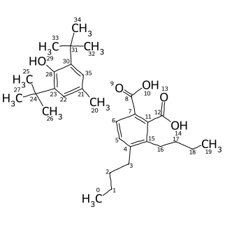 CCCCc1ccc(C(=O)O)c(C(=O)O)c1CCCC.Cc1cc(C(C)(C)C)c(O)c(C(C)(C)C)c1